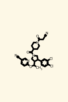 CC(Oc1ccc(C#N)cn1)C1CN(C(=O)C2CCN(C(=O)CC#N)CC2)CC1c1ccc(Cl)c(Cl)c1